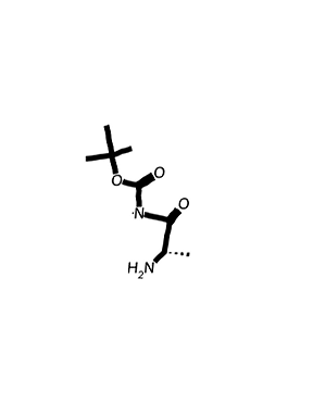 C[C@H](N)C(=O)[N]C(=O)OC(C)(C)C